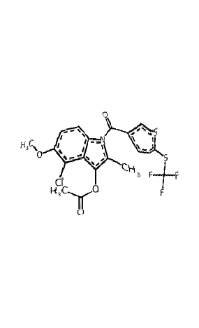 COc1ccc2c(c1Cl)c(OC(C)=O)c(C)n2C(=O)c1csc(SC(F)(F)F)c1